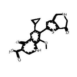 COc1c(-c2cc3c(s2)C(=O)CNC3)c(C2CC2)cc2c(=O)c(C(=O)O)c[nH]c12